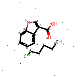 CCCCCCl.O=C(O)c1coc2ccccc12